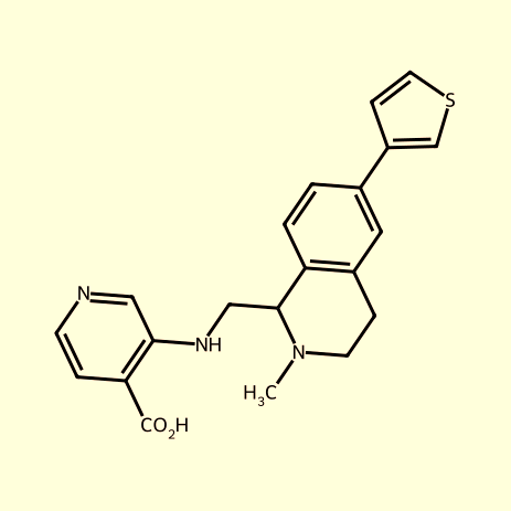 CN1CCc2cc(-c3ccsc3)ccc2C1CNc1cnccc1C(=O)O